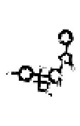 CC(C)c1ccc(C(O)(c2cnnc(N3CC(c4ccccn4)CC3=O)c2)C2(C)CN(C)C2)cc1